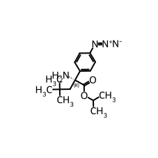 CC(C)OC(=O)[C@@](N)(CC(C)(C)C)c1ccc(N=[N+]=[N-])cc1